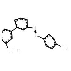 O=S(=O)(O)c1ccc(N=Nc2cc[c]c(-c3cccc(S(=O)(=O)O)c3)c2)cc1